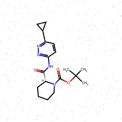 CC(C)(C)OC(=O)N1CCCC[C@@H]1C(=O)Nc1ccc(C2CC2)nn1